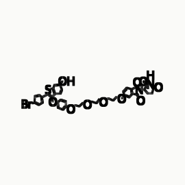 O=C1CCC(N2C(=O)c3ccc(OCCCOCCCOCCCOc4ccc(Oc5c(-c6ccc(Br)cc6)sc6cc(O)ccc56)cc4)cc3C2=O)C(=O)N1